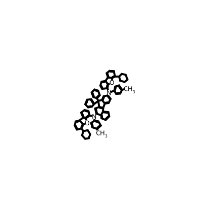 Cc1ccc(N(c2ccc3c(c2)C(c2ccccc2)(c2ccccc2)c2cc(N(c4ccc(C)cc4)c4cccc5c4oc4c(C6CCCCC6)cccc45)c4ccccc4c2-3)c2cccc3c2oc2c(C4CCCCC4)cccc23)cc1